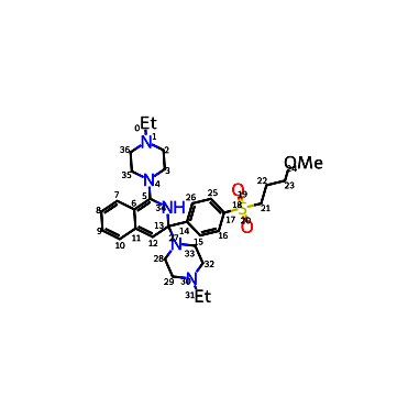 CCN1CCN(C2=c3ccccc3=CC(c3ccc(S(=O)(=O)CCCOC)cc3)(N3CCN(CC)CC3)N2)CC1